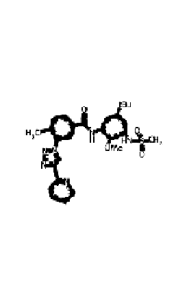 COc1c(NC(=O)c2ccc(C)c(-n3cc(-c4ccccn4)nn3)c2)cc(C(C)(C)C)cc1NS(C)(=O)=O